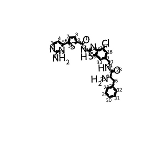 Nc1nccc(-c2ccc(C(=O)Nc3nc4c(Cl)cc(CNC(=O)[C@@H](N)Cc5ccccc5)cc4s3)s2)n1